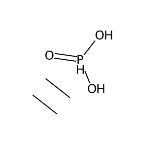 CC.CC.O=[PH](O)O